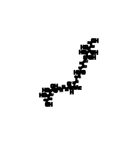 CC(=O)[C@@H](CCCCNC(=O)CCCCOC(O)C(O)C(O)C(O)CCO)NC(=O)CCCCOC(O)/C(O)=C/C(O)CCO